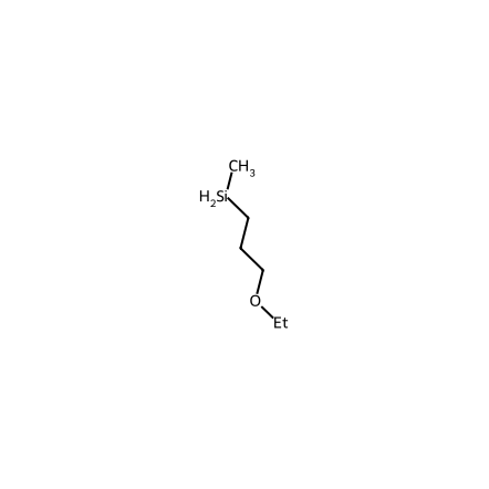 CCOCCC[SiH2]C